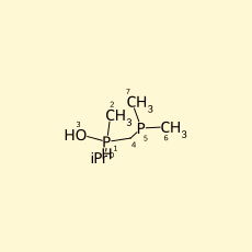 CC(C)[PH](C)(O)CP(C)C